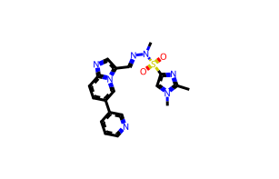 Cc1nc(S(=O)(=O)N(C)N=Cc2cnc3ccc(-c4cccnc4)cn23)cn1C